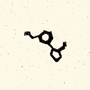 OCc1cccc(C2=C(F)CCC2)c1